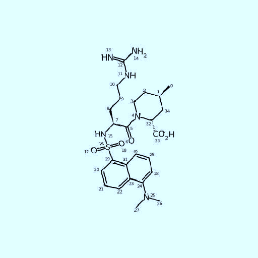 C[C@@H]1CCN(C(=O)[C@H](CCCNC(=N)N)NS(=O)(=O)c2cccc3c(N(C)C)cccc23)[C@@H](C(=O)O)C1